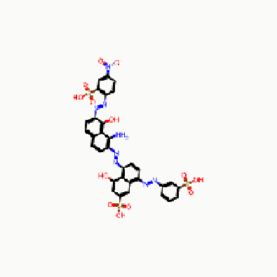 Nc1c(N=Nc2ccc(N=Nc3cccc(S(=O)(=O)O)c3)c3cc(S(=O)(=O)O)cc(O)c23)ccc2ccc(N=Nc3ccc([N+](=O)[O-])cc3S(=O)(=O)O)c(O)c12